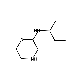 CCC(C)NC1CNCC[N]1